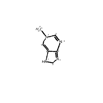 CN1C=NC2=NCNC2=C1